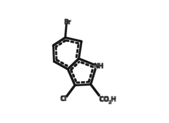 O=C(O)c1[nH]c2cc(Br)ccc2c1Cl